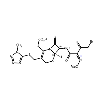 CO/N=C(/C(=O)CBr)C(=O)N[C@@H]1C(=O)N2C(OC(=O)O)=C(CSc3nnnn3C)CS[C@H]12